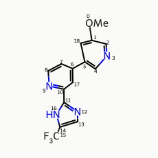 COc1cncc(-c2ccnc(-c3ncc(C(F)(F)F)[nH]3)c2)c1